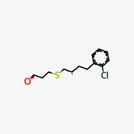 O=CCCSC[CH]CCc1ccccc1Cl